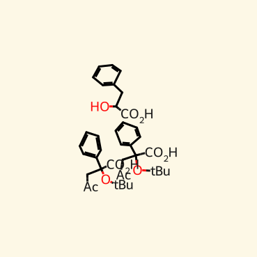 CC(=O)CC(OC(C)(C)C)(C(=O)O)c1ccccc1.CC(=O)CC(OC(C)(C)C)(C(=O)O)c1ccccc1.O=C(O)C(O)Cc1ccccc1